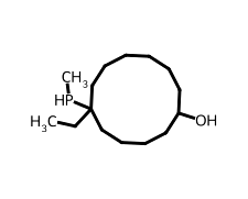 CCC1(PC)CCCCCCC(O)CCCC1